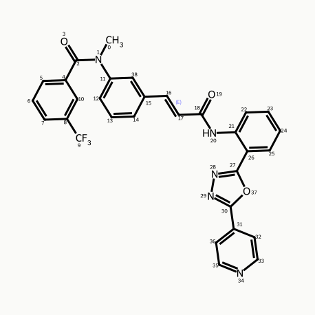 CN(C(=O)c1cccc(C(F)(F)F)c1)c1cccc(/C=C/C(=O)Nc2ccccc2-c2nnc(-c3ccncc3)o2)c1